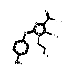 CC(=O)c1sc(=Nc2ccc(N)cc2)n(CCO)c1C